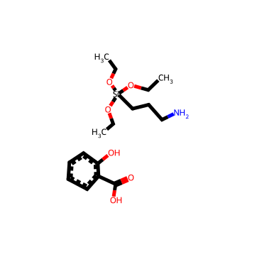 CCO[Si](CCCN)(OCC)OCC.O=C(O)c1ccccc1O